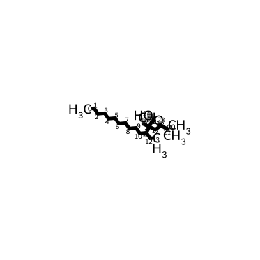 CCCCCCCCCCCC(CC)C(CC)(CCC(C)C)C(=O)O